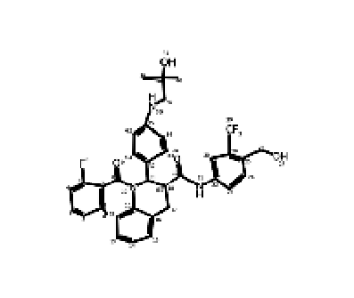 Cc1cccc(F)c1C(=O)N1c2ccccc2C[C@H](C(=O)Nc2ccc(CO)c(C(F)(F)F)c2)C1c1ccc(NCC(C)(C)O)cc1